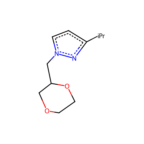 CC(C)c1ccn(CC2COCCO2)n1